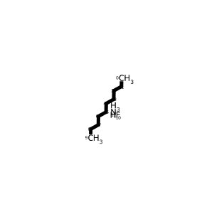 CCCCCCCCCC.F.N